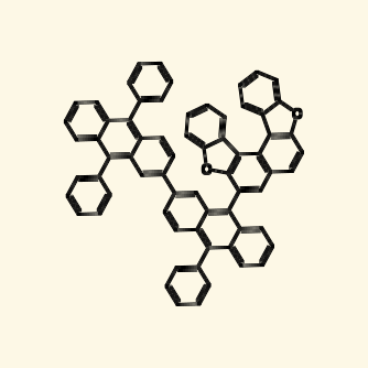 c1ccc(-c2c3ccccc3c(-c3ccccc3)c3cc(-c4ccc5c(-c6ccccc6)c6ccccc6c(-c6cc7ccc8oc9ccccc9c8c7c7c6oc6ccccc67)c5c4)ccc23)cc1